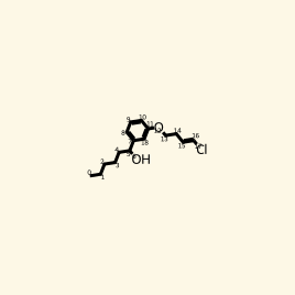 CCCCCC(O)c1cccc(OCCC=CCl)c1